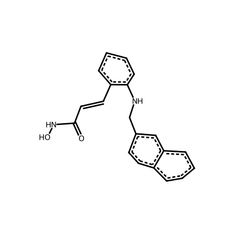 O=C(/C=C/c1ccccc1NCc1ccc2ccccc2c1)NO